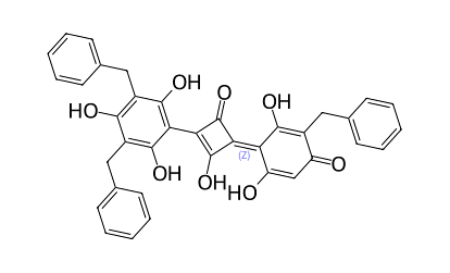 O=C1C=C(O)/C(=C2/C(=O)C(c3c(O)c(Cc4ccccc4)c(O)c(Cc4ccccc4)c3O)=C2O)C(O)=C1Cc1ccccc1